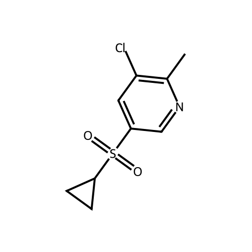 Cc1ncc(S(=O)(=O)C2CC2)cc1Cl